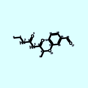 CCNC(=O)NC(=O)C(C)Oc1cccc(C=O)c1